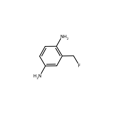 Nc1ccc(N)c(CF)c1